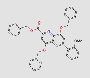 COc1ccccc1-c1cc(OCc2ccccc2)c2nc(C(=O)OCc3ccccc3)cc(OCc3ccccc3)c2c1